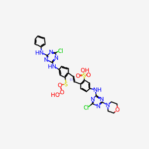 O=S(=O)(O)c1cc(Nc2nc(Cl)nc(N3CCOCC3)n2)ccc1/C=C/c1ccc(Nc2nc(Cl)nc(Nc3ccccc3)n2)cc1SOOO